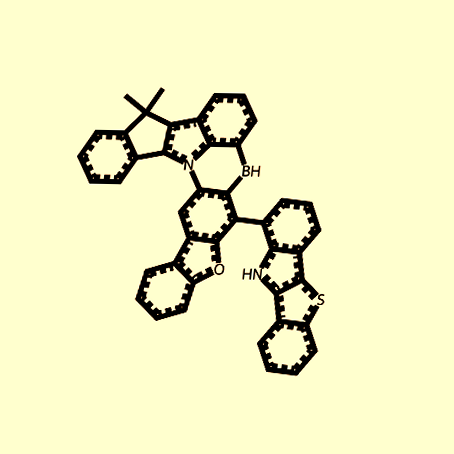 CC1(C)c2ccccc2-c2c1c1cccc3c1n2-c1cc2c(oc4ccccc42)c(-c2cccc4c2[nH]c2c5ccccc5sc42)c1B3